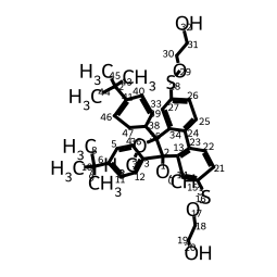 COC1(c2ccc(C(C)(C)C)cc2)c2cc(SOCCO)ccc2-c2ccc(SOCCO)cc2C1(OC)C1C=CC(C(C)(C)C)=CC1